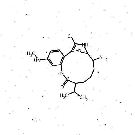 CNc1ccc2c(c1)NC(=O)C(C(C)C)CCCC(N)c1nc-2c(Cl)[nH]1